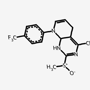 C[S+]([O-])C1=NC(Cl)=C2CC=CN(c3ccc(C(F)(F)F)cc3)C2N1